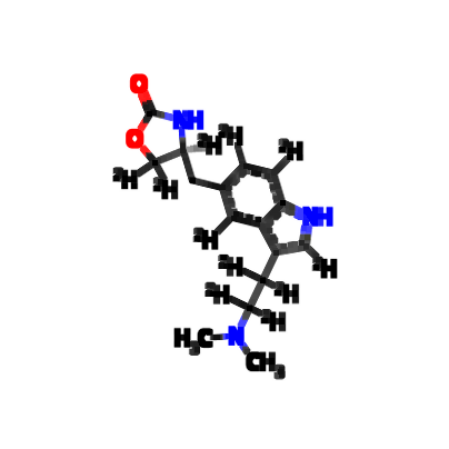 [2H]c1[nH]c2c([2H])c([2H])c(C[C@]3([2H])NC(=O)OC3([2H])[2H])c([2H])c2c1C([2H])([2H])C([2H])([2H])N(C)C